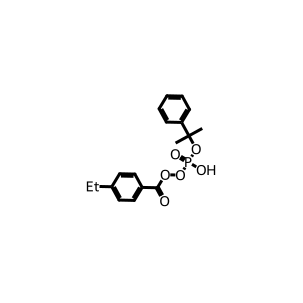 CCc1ccc(C(=O)OOP(=O)(O)OC(C)(C)c2ccccc2)cc1